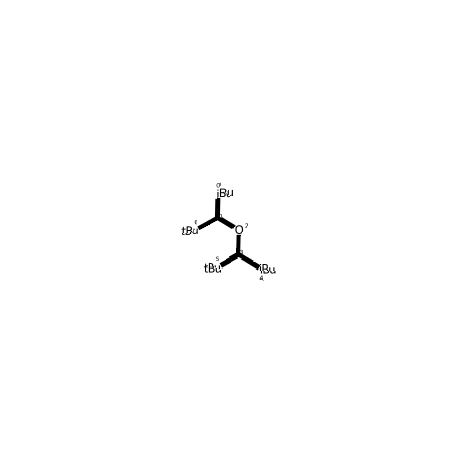 CCC(C)C(OC(C(C)CC)C(C)(C)C)C(C)(C)C